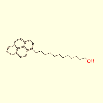 OCCCCCCCCCCCCc1ccc2ccc3cccc4ccc1c2c34